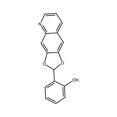 Oc1ccccc1C1Oc2cc3cccnc3cc2O1